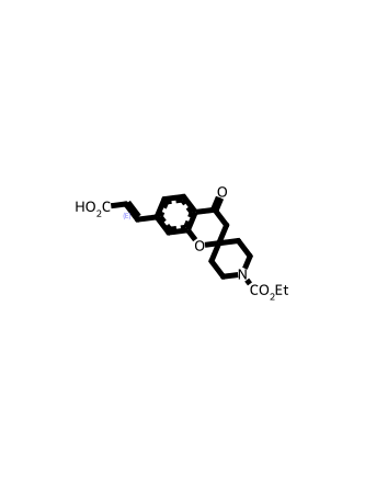 CCOC(=O)N1CCC2(CC1)CC(=O)c1ccc(/C=C/C(=O)O)cc1O2